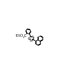 CCOC(=O)c1ccccc1-c1nc(-c2cccc3ccccc23)no1